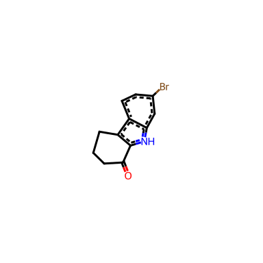 O=C1CCCc2c1[nH]c1cc(Br)ccc21